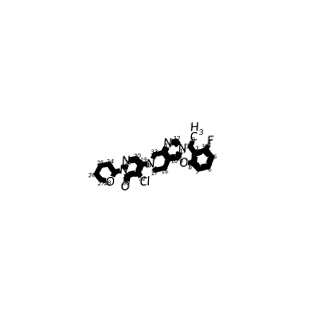 CCc1c(F)cccc1Oc1ncnc2c1CCN(c1cnn(C3CCCCO3)c(=O)c1Cl)C2